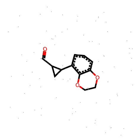 O=[C]C1CC1c1cccc2c1OCCO2